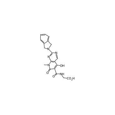 Cn1c(=O)c(C(=O)NCC(=O)O)c(O)c2cnc(N3Cc4ccccc4C3)nc21